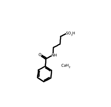 O=C(NCCCS(=O)(=O)O)c1ccccc1.[CaH2]